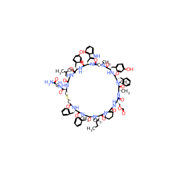 CCCC[C@H]1C(=O)N2CCCC[C@@H]2C(=O)N[C@@H](COC=O)C(=O)N[C@@H](C)C(=O)N(C)[C@@H](Cc2ccccc2)C(=O)N[C@@H](Cc2ccc(O)cc2)C(=O)N(C)CC(=O)N[C@@H](Cc2c[nH]c3ccccc23)C(=O)N[C@@H](Cc2ccc(O)cc2)C(=O)N[C@@H](CC(C)C)C(=O)N[C@H](C(=O)NCC(N)=O)CSCC(=O)N[C@@H](Cc2ccccc2)C(=O)N(C)[C@@H](Cc2ccccc2)C(=O)N1C